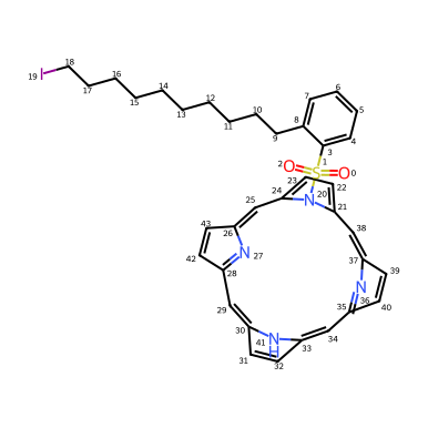 O=S(=O)(c1ccccc1CCCCCCCCCCI)n1c2ccc1cc1nc(cc3ccc(cc4nc(c2)C=C4)[nH]3)C=C1